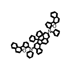 c1ccc(N(c2ccc3c4c(ccc3c2)-c2c(cc(N(c3ccccc3)c3cccc5c3oc3ccc6ccccc6c35)c3ccccc23)C4(c2ccccc2)c2ccccc2)c2cccc3c2oc2ccc4ccccc4c23)cc1